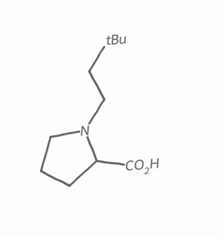 CC(C)(C)CCN1CCCC1C(=O)O